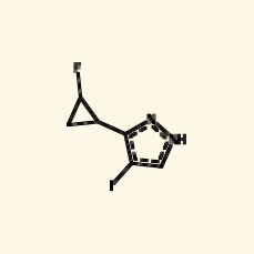 FC1CC1c1n[nH]cc1I